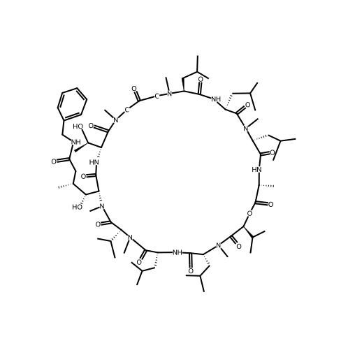 CC(C)C[C@@H]1C(=O)N[C@H](CC(C)C)C(=O)N(C)[C@H](C(C)C)C(=O)N(C)[C@H]([C@H](O)[C@H](C)CC(=O)NCc2ccccc2)C(=O)N[C@H]([C@@H](C)O)C(=O)N(C)CC(=O)CN(C)[C@@H](CC(C)C)C(=O)N[C@H](CC(C)C)C(=O)N(C)[C@H](CC(C)C)C(=O)N[C@H](C)C(=O)O[C@@H](C(C)C)C(=O)N1C